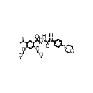 COCOc1cc(OCOC)c(C(C)C)cc1C(=O)NNC(=O)Nc1ccc(N2CCOCC2)cc1